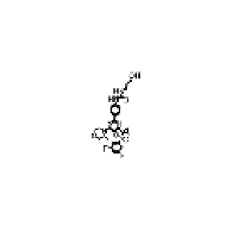 C[C@H]1COCCN1c1cc(C2(S(=O)(=O)c3cc(F)cc(F)c3)CC2)nc(-c2ccc(NC(=O)NCCCO)cc2)n1